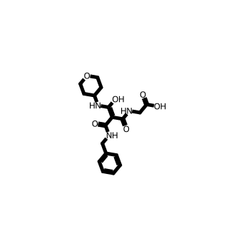 O=C(O)CNC(=O)/C(C(=O)NCc1ccccc1)=C(\O)NC1CCOCC1